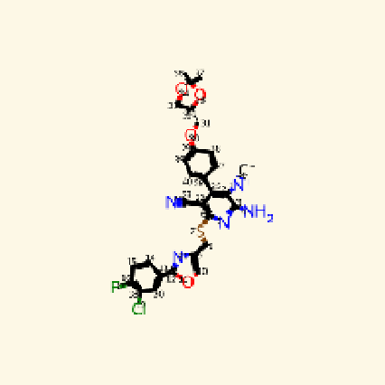 [C-]#[N+]c1c(N)nc(SCc2coc(-c3ccc(F)c(Cl)c3)n2)c(C#N)c1-c1ccc(OC[C@@H]2COC(C)(C)O2)cc1